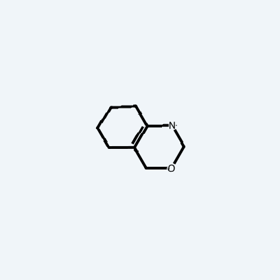 C1CCC2=C(C1)COC[N]2